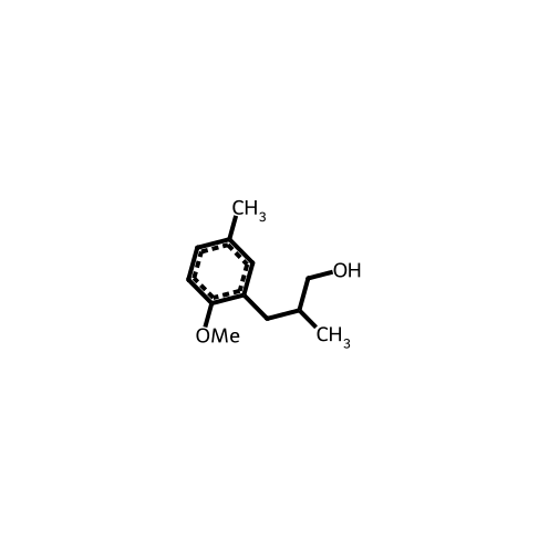 COc1ccc(C)cc1CC(C)CO